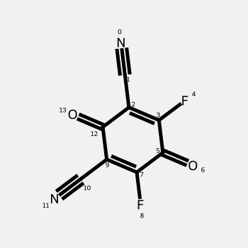 N#CC1=C(F)C(=O)C(F)=C(C#N)C1=O